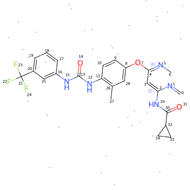 C=N/C(=C\C(=N/C)Oc1ccc(NC(=O)Nc2cccc(C(F)(F)F)c2)c(C)c1)NC(=O)C1CC1